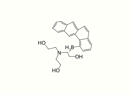 Bc1cccc2ccc3cc4ccccc4cc3c12.OCCN(CCO)CCO